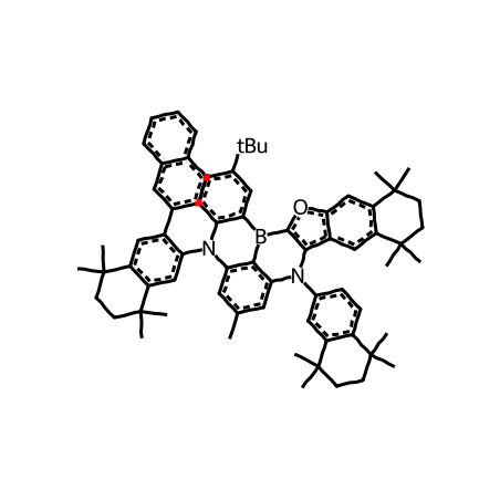 Cc1cc2c3c(c1)N(c1ccc4c(c1)C(C)(C)CCC4(C)C)c1c(oc4cc5c(cc14)C(C)(C)CCC5(C)C)B3c1cc(C(C)(C)C)ccc1N2c1cc2c(cc1-c1ccc3ccccc3c1)C(C)(C)CCC2(C)C